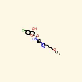 O=C(NC12CC(n3cc(CCCCOC(F)(F)F)nn3)(C1)C2)[C@H]1C[C@@H](O)c2cc(Cl)ccc2O1